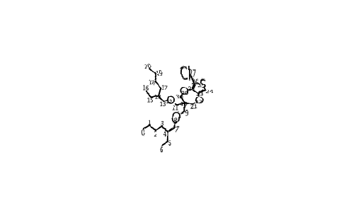 CCCCC(CC)COCC1(COCC(CC)CCCC)COc2csc(Cl)c2OC1